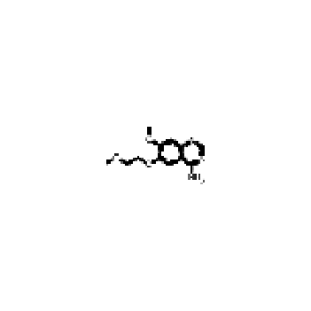 COCCOc1cc2c(N)ncnc2cc1OC